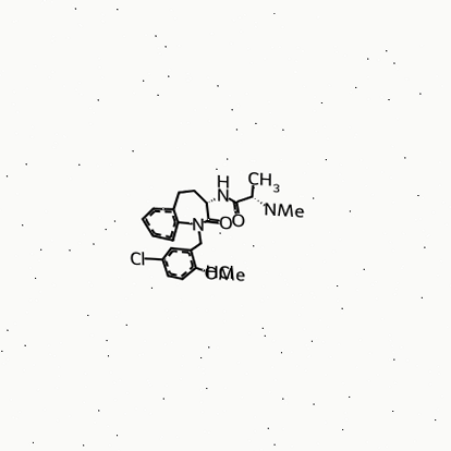 CN[C@@H](C)C(=O)N[C@H]1CCc2ccccc2N(Cc2cc(Cl)ccc2OC)C1=O.Cl